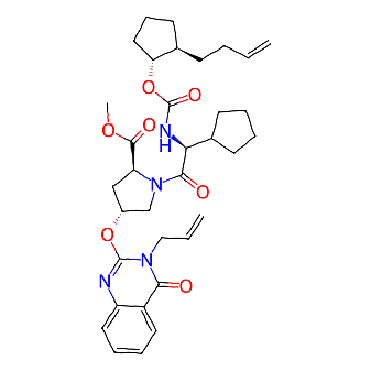 C=CCC[C@@H]1CCC[C@H]1OC(=O)N[C@H](C(=O)N1C[C@H](Oc2nc3ccccc3c(=O)n2CC=C)C[C@H]1C(=O)OC)C1CCCC1